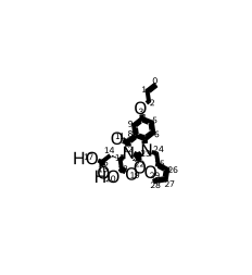 C=CCOc1ccc2c(c1)c(=O)n([C@@H](CC(=O)O)C(=O)O)c(=O)n2Cc1ccco1